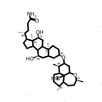 C[C@H]1C(O[C@@H]2CC[C@@]3(C)C(C2)C[C@@H](O)C2C3C[C@H](O)[C@@]3(C)C2CCC3[C@H](C)CCC(N)=O)CC2O[C@@H](C)CCC3[C@H](C)CCC1C23OO